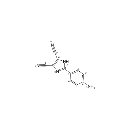 N#Cc1nc(-c2ccc(N)cc2)[nH]c1C#N